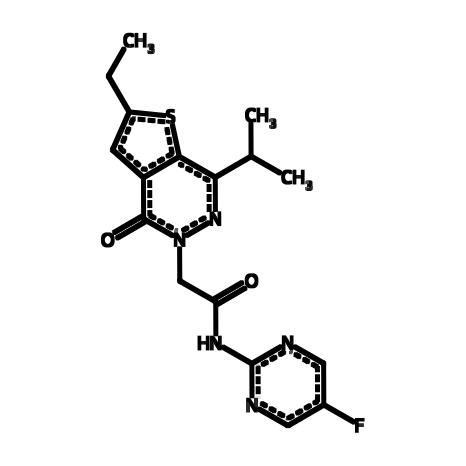 CCc1cc2c(=O)n(CC(=O)Nc3ncc(F)cn3)nc(C(C)C)c2s1